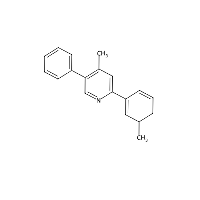 Cc1cc(C2=CC(C)CC=C2)ncc1-c1ccccc1